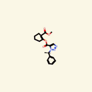 COC(=O)C1=C(OC(=O)c2cnnn2[C@H](C)c2ccccc2)CCCC1